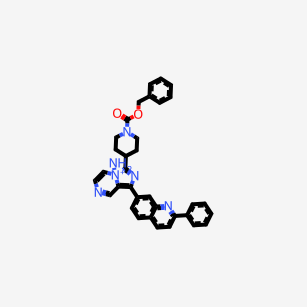 N[N+]12C=CN=CC1=C(c1ccc3ccc(-c4ccccc4)nc3c1)N=C2C1CCN(C(=O)OCc2ccccc2)CC1